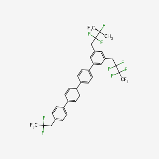 C[C@](F)(C(F)(F)F)C(F)(F)Cc1cc(CC(F)(F)C(F)(F)C(F)(F)F)cc(-c2ccc(C3C=CC(c4ccc(CC(F)(F)C(F)(F)F)cc4)=CC3)cc2)c1